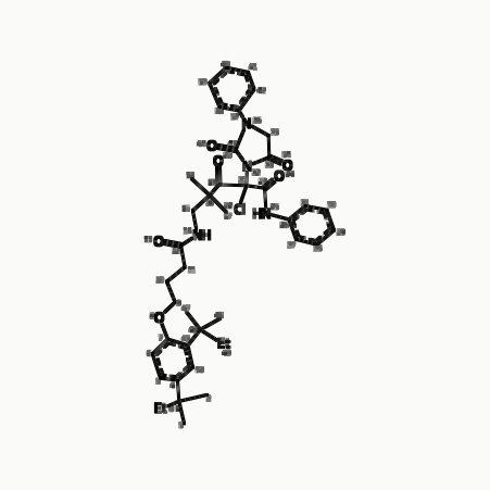 CCC(C)(C)c1ccc(OCCCC(=O)NCC(C)(C)C(=O)C(Cl)(C(=O)Nc2ccccc2)N2C(=O)CN(c3ccccc3)C2=O)c(C(C)(C)CC)c1